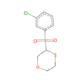 O=S(=O)(c1cc[c]c(Cl)c1)C1COCCS1